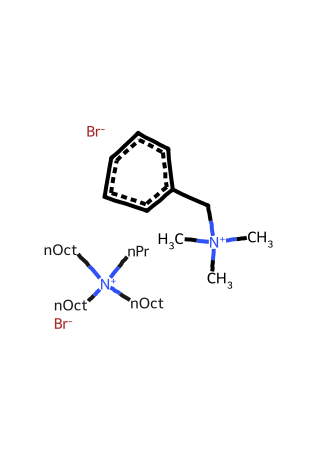 CCCCCCCC[N+](CCC)(CCCCCCCC)CCCCCCCC.C[N+](C)(C)Cc1ccccc1.[Br-].[Br-]